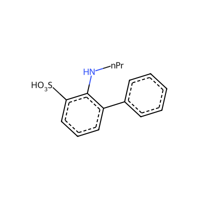 CCCNc1c(-c2ccccc2)cccc1S(=O)(=O)O